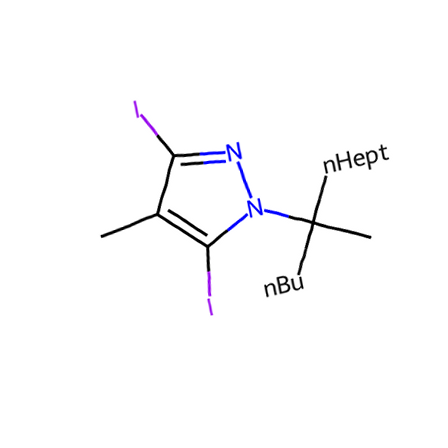 CCCCCCCC(C)(CCCC)n1nc(I)c(C)c1I